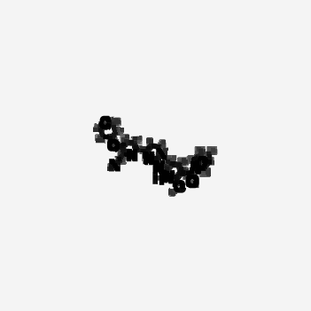 COc1nc(Nc2nccc(-c3ccc(OC4CCOCC4)c(C#N)n3)n2)ccc1C(=O)N1CC2CC(C1)O2